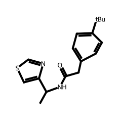 CC(NC(=O)Cc1ccc(C(C)(C)C)cc1)c1cscn1